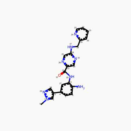 Cn1cc(-c2ccc(N)c(NC(=O)c3cnc(NCc4ccccn4)cn3)c2)cn1